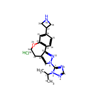 CC(C)n1ncnc1-n1cc2c(n1)-c1ccc(C3CNC3)cc1OCC2.Cl